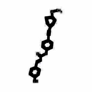 COc1ccc(C#Cc2ccc(OC(=O)/C=C/c3ccc(O)cc3)cc2)cc1